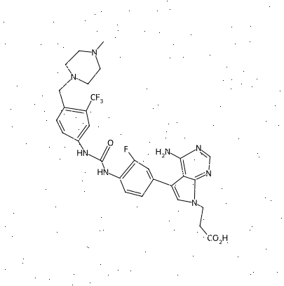 CN1CCN(Cc2ccc(NC(=O)Nc3ccc(-c4cn(CCC(=O)O)c5ncnc(N)c45)cc3F)cc2C(F)(F)F)CC1